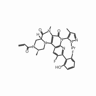 C=CC(=O)N1C[C@@H]2C(=O)N(C)c3c(c4cc(F)c(-c5c(O)cccc5F)nc4n(-c4c(C)cnn4C(C)C)c3=O)N2C[C@H]1C